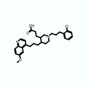 COc1ccc2nccc(CCCC3CCN(CCCc4ccccc4Cl)CC3CCC(=O)O)c2c1